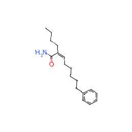 CCCCC(=CCCCCCc1ccccc1)C(N)=O